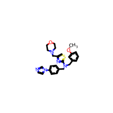 COc1cccc(CN(Cc2ccc(-n3ccnc3)cc2)c2nc(CN3CCOCC3)cs2)c1